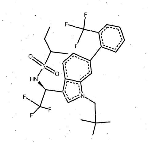 CCC(C)S(=O)(=O)N[C@@H](c1cn(CC(C)(C)C)c2cc(-c3ccccc3C(F)(F)F)ccc12)C(F)(F)F